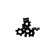 CC1C(=O)c2cccc(C(=O)O)c2OC1(c1ccccc1)C(C)N1CCCCC1.Cl